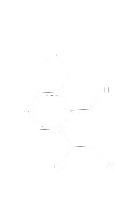 [CH2]C(CO)c1cccc(OC)c1C=C